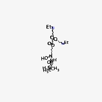 CC/C=C\CCCCOC(CCC(=O)OCCCCCCN(CCO)CCNC(=O)OCC[Si](C)(C)C)OCCCC/C=C\CC